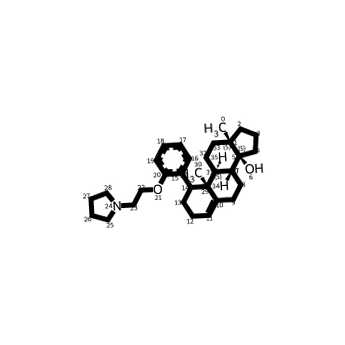 C[C@@]12CCC[C@]1(O)[C@@H]1CCC3=CCCC(c4ccccc4OCCN4CCCC4)[C@]3(C)[C@H]1CC2